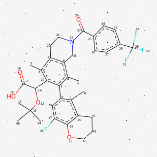 Cc1c(-c2c(C)c3c(c(C)c2C(OC(C)(C)C)C(=O)O)CCN(C(=O)c2ccc(C(F)(F)F)cc2)C3)cc(F)c2c1CCCO2